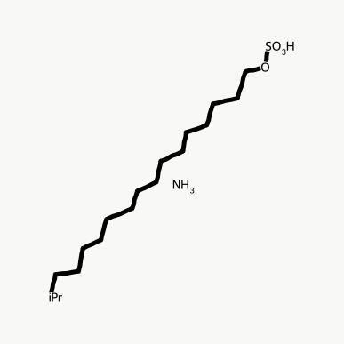 CC(C)CCCCCCCCCCCCCCCOS(=O)(=O)O.N